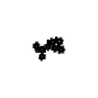 c1ccc(C2=NC(c3ccc4c(c3)sc3cc5sc6cccc(-n7c8ccccc8c8ccccc87)c6c5cc34)=NC(c3ccccc3)N2)cc1